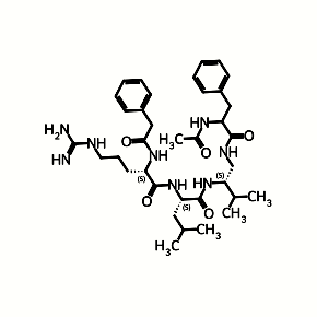 CC(=O)NC(Cc1ccccc1)C(=O)NC[C@@H](NC(=O)[C@H](CC(C)C)NC(=O)[C@H](CCCNC(=N)N)NC(=O)Cc1ccccc1)C(C)C